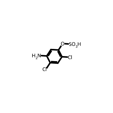 Nc1cc(OS(=O)(=O)O)c(Cl)cc1Cl